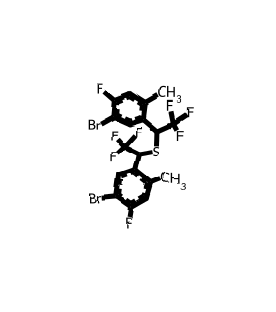 Cc1cc(F)c(Br)cc1C(SC(c1cc(Br)c(F)cc1C)C(F)(F)F)C(F)(F)F